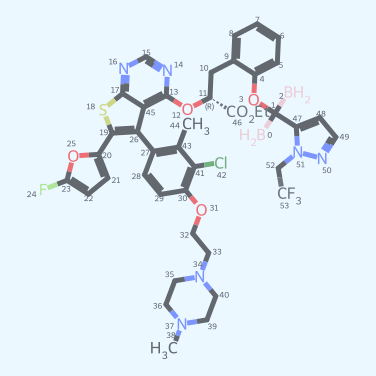 BC(B)(Oc1ccccc1C[C@@H](Oc1ncnc2sc(-c3ccc(F)o3)c(-c3ccc(OCCN4CCN(C)CC4)c(Cl)c3C)c12)C(=O)OCC)c1ccnn1CC(F)(F)F